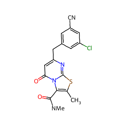 CNC(=O)c1c(C)sc2nc(Cc3cc(Cl)cc(C#N)c3)cc(=O)n12